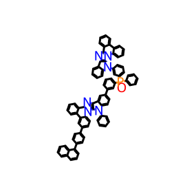 O=P(c1ccccc1)(c1cccc(-c2ccc3c(c2)c2nc4c5ccccc5c5cc(-c6ccc(-c7cccc8ccccc78)cc6)ccc5n4c2n3-c2ccccc2)c1)c1cccc(-n2c3ccccc3c3nc4c5ccccc5c5ccccc5n4c32)c1